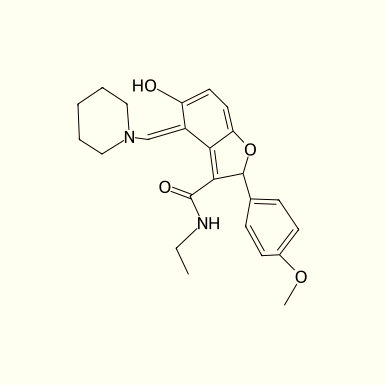 CCNC(=O)C1=c2c(ccc(O)c2=CN2CCCCC2)OC1c1ccc(OC)cc1